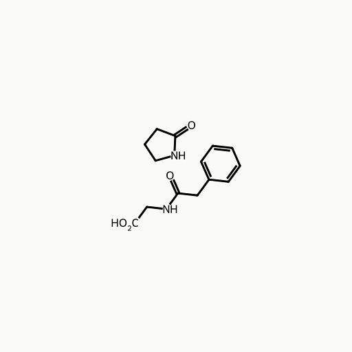 O=C(O)CNC(=O)Cc1ccccc1.O=C1CCCN1